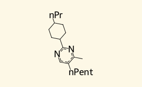 CCCCCc1cnc(C2CCC(CCC)CC2)nc1C